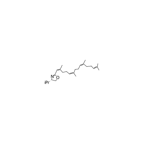 CC(C)=CCCC(C)=CCCC(C)=CCCC(C)=CC1=N[C@@H](C(C)C)CO1